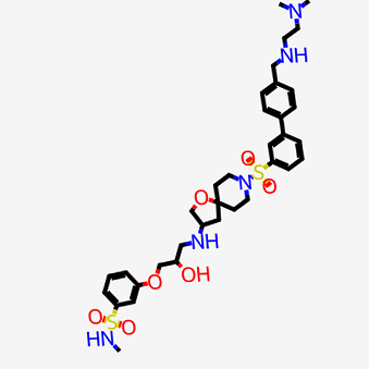 CNS(=O)(=O)c1cccc(OCC(O)CNC2COC3(CCN(S(=O)(=O)c4cccc(-c5ccc(CNCCN(C)C)cc5)c4)CC3)C2)c1